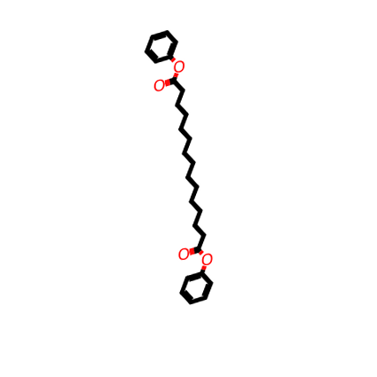 O=C(CCCCCCCCCCCCCC(=O)Oc1ccccc1)Oc1ccccc1